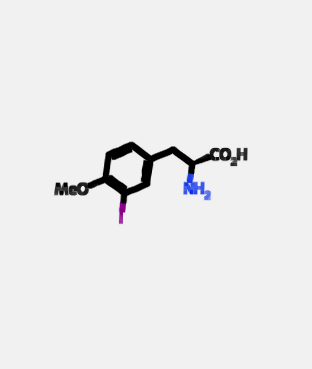 COc1ccc(C[C@H](N)C(=O)O)cc1I